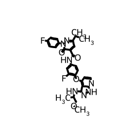 COCC(C)Nc1n[nH]c2nccc(Oc3ccc(NC(=O)c4cc(C(C)C)nn(-c5ccc(F)cc5)c4=O)cc3F)c12